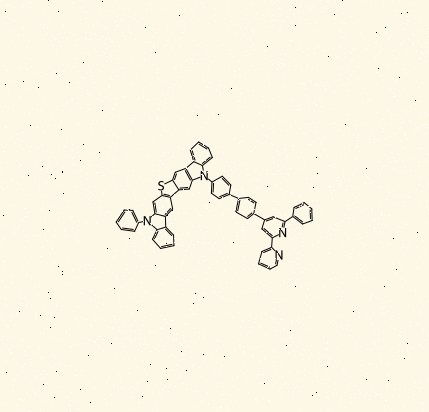 c1ccc(-c2cc(-c3ccc(-c4ccc(-n5c6ccccc6c6cc7sc8cc9c(cc8c7cc65)c5ccccc5n9-c5ccccc5)cc4)cc3)cc(-c3ccccn3)n2)cc1